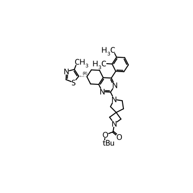 Cc1cccc(-c2nc(N3CCC4(CN(C(=O)OC(C)(C)C)C4)C3)nc3c2CC[C@@H](c2scnc2C)C3)c1C